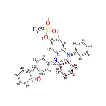 O=S(=O)(Oc1ccc(N(c2ccccc2)c2ccccc2)c(N(c2ccccc2)c2ccc3c(c2)oc2ccccc23)c1)C(F)(F)F